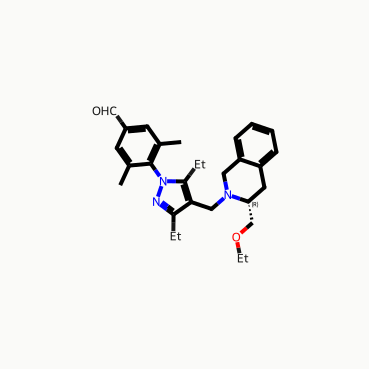 CCOC[C@H]1Cc2ccccc2CN1Cc1c(CC)nn(-c2c(C)cc(C=O)cc2C)c1CC